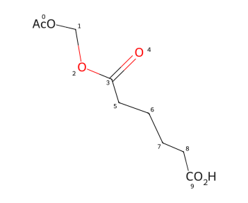 CC(=O)OCOC(=O)CCCCC(=O)O